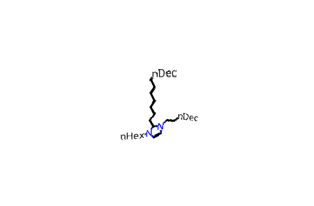 CCCCCCCCCCCCCCCCCC1N(CCCCCC)C=CN1CCCCCCCCCCCC